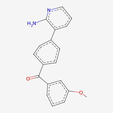 COc1cccc(C(=O)c2ccc(-c3cccnc3N)cc2)c1